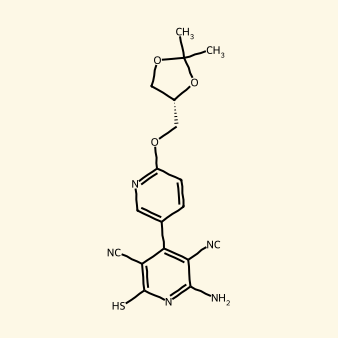 [C-]#[N+]c1c(N)nc(S)c(C#N)c1-c1ccc(OC[C@@H]2COC(C)(C)O2)nc1